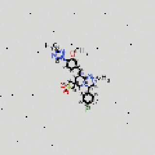 COc1cc(/C=C2\CC3(CN4C2=NN(C)CC4c2ccc(F)cc2)CS(=O)(=O)C3)ccc1-n1cnc(C)n1